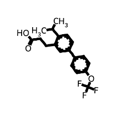 CC(C)c1ccc(-c2ccc(OC(F)(F)F)cc2)cc1CCC(=O)O